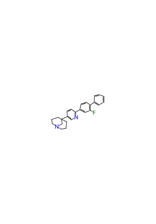 Fc1cc(-c2ccc(C34CCCN(CCC3)C4)cn2)ccc1-c1ccccc1